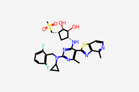 Cc1nc(N(Cc2c(F)cccc2F)C2CC2)nc(N[C@@H]2C[C@H](CS(C)(=O)=O)[C@@H](O)[C@H]2O)c1-c1nc2c(C)nccc2s1